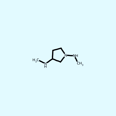 CNC1[CH]N(NC)CC1